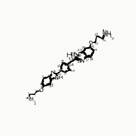 NCCCOc1ccc2nc(-c3ccc(-c4nc5ccc(OCCCN)cc5[nH]4)cc3)[nH]c2c1